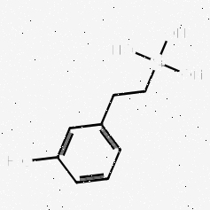 O[Si](O)(O)CCc1cccc(C(F)(F)F)c1